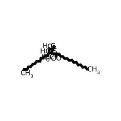 CCCCCCCCCCCCCCCC(CC)(SC(CC)(CCCCCCCCCCCCCCC)C(=O)O)C(=O)O